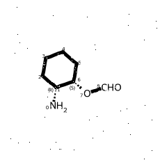 N[C@@H]1CCCC[C@@H]1OC=O